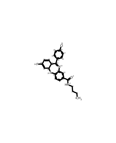 CCCCNC(=O)c1ccc2c(c1)N=C(c1ccc(Cl)cc1)C1C=CC(F)=CC1S2